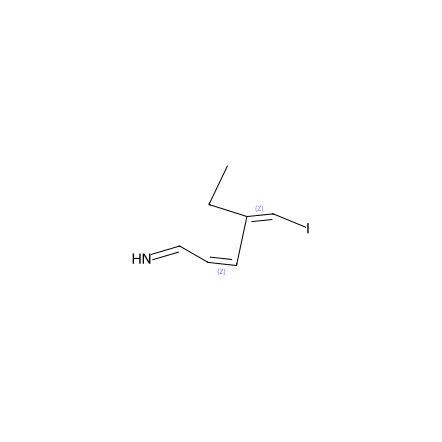 CCC(/C=C\C=N)=C/I